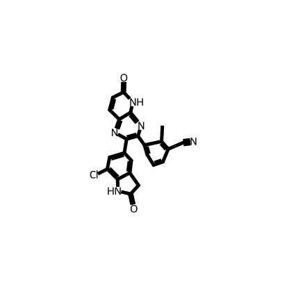 Cc1c(C#N)cccc1-c1nc2[nH]c(=O)ccc2nc1-c1cc(Cl)c2c(c1)CC(=O)N2